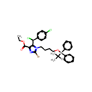 CCOC(=O)c1nc(Br)n(CCCCO[Si](c2ccccc2)(c2ccccc2)C(C)(C)C)c1C(Cl)c1ccc(Cl)cc1